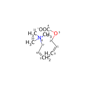 C=CCOC(=O)[O-].C=CC[N+](C)(C)C